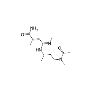 C/N=C(\C=C(/C)C(N)=O)NC(C)CCN(C)C(C)=O